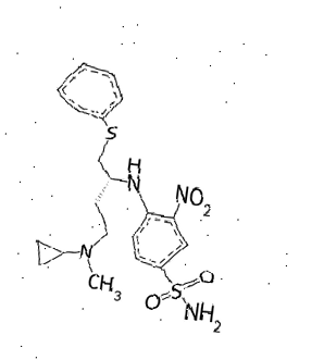 CN(CC[C@H](CSc1ccccc1)Nc1ccc(S(N)(=O)=O)cc1[N+](=O)[O-])C1CC1